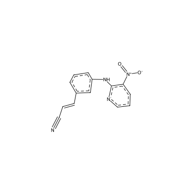 N#CC=Cc1cccc(Nc2ncccc2[N+](=O)[O-])c1